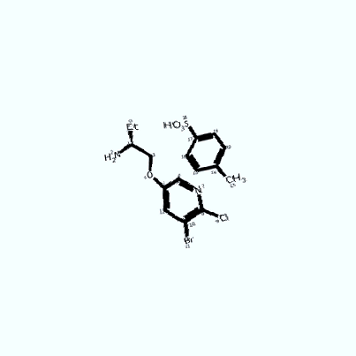 CC[C@H](N)COc1cnc(Cl)c(Br)c1.Cc1ccc(S(=O)(=O)O)cc1